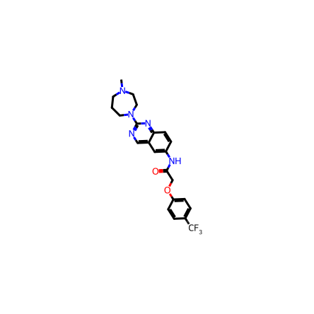 CN1CCCN(c2ncc3cc(NC(=O)COc4ccc(C(F)(F)F)cc4)ccc3n2)CC1